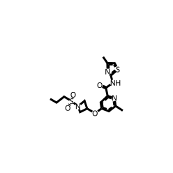 CCCS(=O)(=O)N1CC(Oc2cc(C)nc(C(=O)Nc3nc(C)cs3)c2)C1